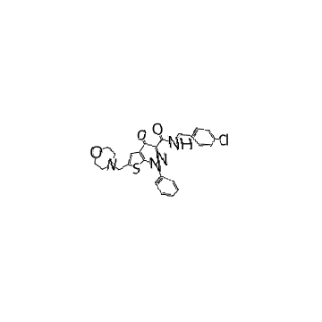 O=C(NCc1ccc(Cl)cc1)c1nn(-c2ccccc2)c2sc(CN3CCOCC3)cc2c1=O